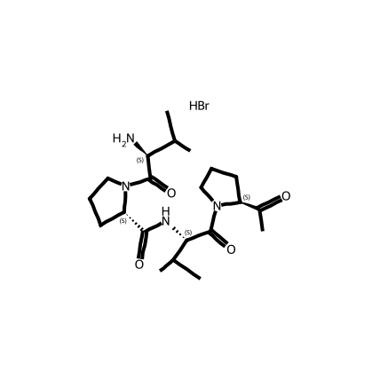 Br.CC(=O)[C@@H]1CCCN1C(=O)[C@@H](NC(=O)[C@@H]1CCCN1C(=O)[C@@H](N)C(C)C)C(C)C